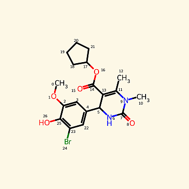 COc1cc(C2NC(=O)N(C)C(C)=C2C(=O)OC2CCCC2)cc(Br)c1O